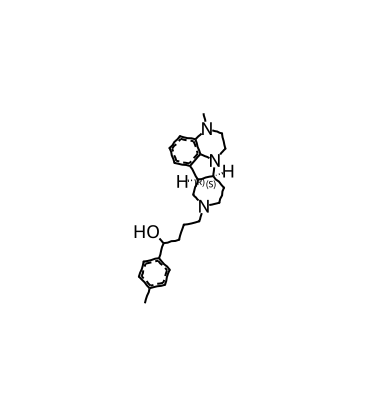 Cc1ccc(C(O)CCCN2CC[C@H]3[C@@H](C2)c2cccc4c2N3CCN4C)cc1